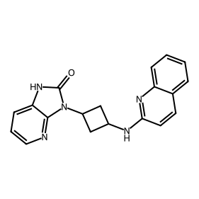 O=c1[nH]c2cccnc2n1C1CC(Nc2ccc3ccccc3n2)C1